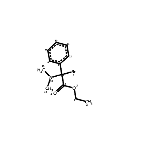 CCOC(=O)C(Br)(c1ccccc1)N(C)C